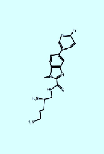 CCc1ccc(-c2ccc3c(c2)nc(C(=O)NC[C@H](N)CCCN)n3C)cc1